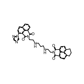 O=C1c2cccc3ccc(-n4cncn4)c(c23)C(=O)N1CCNCCCNCCN1C(=O)c2ccc3c4c(ccc(c24)C1=O)CCC3